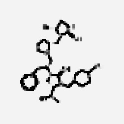 CC(C)[C@@H]1CNC(=N)N1C[C@@H]1CCCN1C[C@@H](Cc1ccccc1)N1C[C@@H]([C@@H](C)O)N(CC2CCC(C(C)(C)C)CC2)C1=N